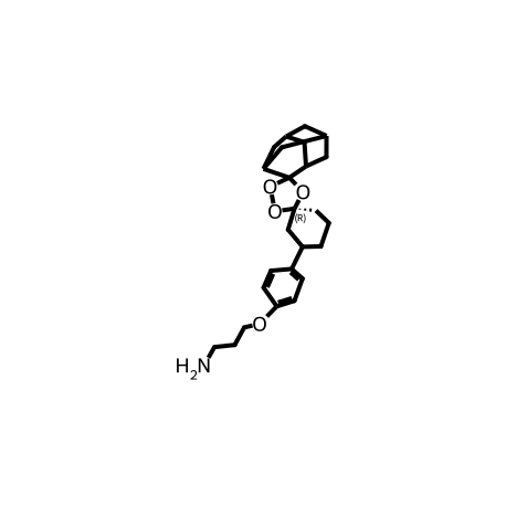 NCCCOc1ccc(C2CCC[C@]3(C2)OOC2(O3)C3CC4CC(C3)CC2C4)cc1